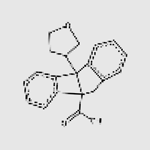 O=C(O)C12Cc3ccccc3C1(C1CCOC1)c1ccccc12